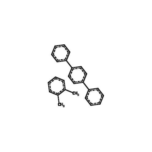 Cc1ccccc1C.c1ccc(-c2ccc(-c3ccccc3)cc2)cc1